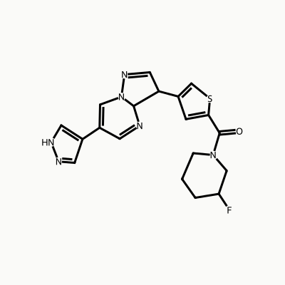 O=C(c1cc(C2C=NN3C=C(c4cn[nH]c4)C=NC23)cs1)N1CCCC(F)C1